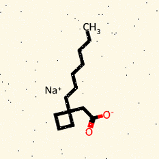 CCCCCCCC1(CC(=O)[O-])CCC1.[Na+]